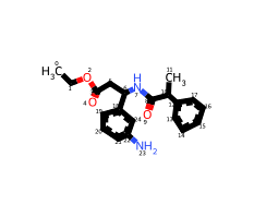 CCOC(=O)CC(NC(=O)C(C)c1ccccc1)c1cccc(N)c1